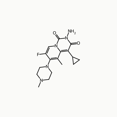 Cc1c(N2CCN(C)CC2)c(F)cn2c(=O)n(N)c(=O)c(C3CC3)c12